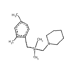 Cc1ccc(C[Si](C)(C)CN2CCCCC2)c(C)c1